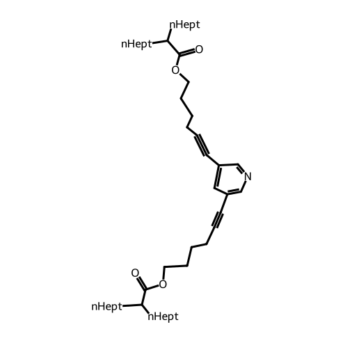 CCCCCCCC(CCCCCCC)C(=O)OCCCCC#Cc1cncc(C#CCCCCOC(=O)C(CCCCCCC)CCCCCCC)c1